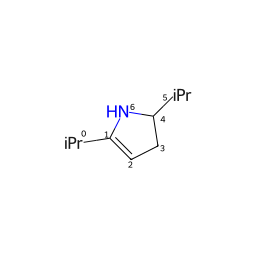 CC(C)C1=CCC(C(C)C)N1